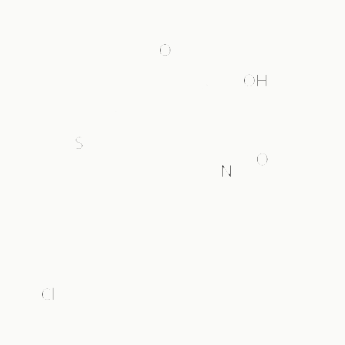 CON=C(C(=O)O)c1csc2cc(Cl)ccc12